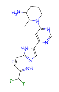 CC1C(N)CCCN1c1cc(-c2cnc(/C=C\C(=N)C(F)F)[nH]2)ncn1